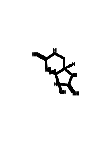 N=C1N[C@H]2CNC(=N)N3CC[C@@H](O)[C@]23N1